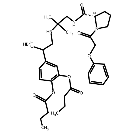 Br.CCCC(=O)Oc1ccc(C(O)CNC(C)(C)CNC(=O)[C@@H]2CCCN2C(=O)COc2ccccc2)cc1OC(=O)CCC